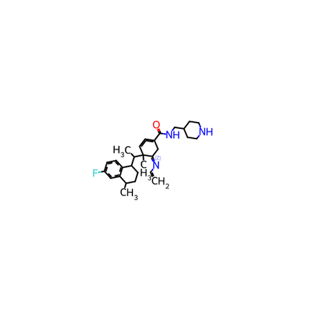 C=C/N=C1/CC(C(=O)NCC2CCNCC2)=C=CC1(C)C(C)C1CCC(C)c2cc(F)ccc21